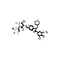 CC[C@H](C)OC(=O)[C@@H](NCc1ccc2c(c1)nc(-c1cc(C)c(=O)n(C)c1)n2CC1CCOCC1)[C@@H](C)O